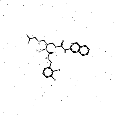 CN(C(=O)NCc1cccc(F)c1Cl)[C@@H](CNCC(F)F)COC(=O)Nc1cc2ccccc2cn1